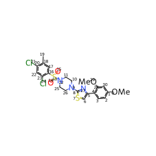 COc1ccc(-c2csc(N3CCN(S(=O)(=O)c4cc(C)c(Cl)cc4Cl)CC3)n2)c(OC)c1